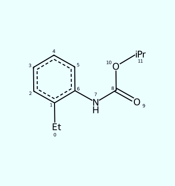 CCc1ccccc1NC(=O)OC(C)C